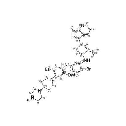 CCc1cc(Nc2ncc(Br)c(Nc3ccc(-c4nn(C)c5ncccc45)cc3P(C)C)n2)c(OC)cc1N1CCC(N2CCN(C)CC2)CC1